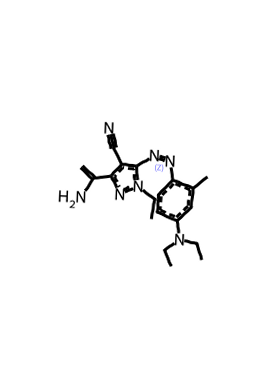 C=C(N)c1nn(CC)c(/N=N\c2ccc(N(CC)CC)cc2C)c1C#N